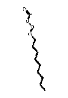 CCCCCCCCCOOO[C]=O